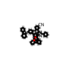 N#Cc1ccc(-n2c3ccc(-n4c5ccccc5c5ccccc54)cc3c3cc(-n4c5ccccc5c5ccccc54)ccc32)c(-c2nc(-c3ccccc3)nc(-c3ccccc3)n2)c1